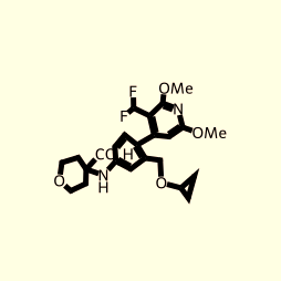 COc1cc(-c2ccc(NC3(C(=O)O)CCOCC3)cc2COC2CC2)c(C(F)F)c(OC)n1